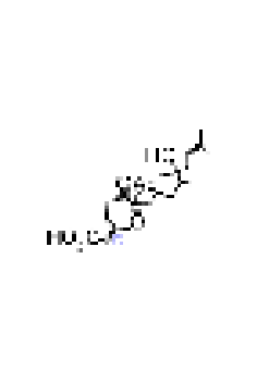 CC(=O)O[C@@H]1CC/C(=C\C(=O)O)CO[C@@]1(C)CCCC(C)C(C)(O)CC=C(C)C